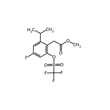 COC(=O)Cc1c(OS(=O)(=O)C(F)(F)F)cc(F)cc1C(C)C